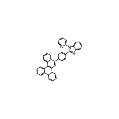 C1=CC2c3ccccc3-c3c(cc(-c4ccc(-c5nc6ccccc6n5-c5ccccn5)cc4)c4ccccc34)C2C=C1